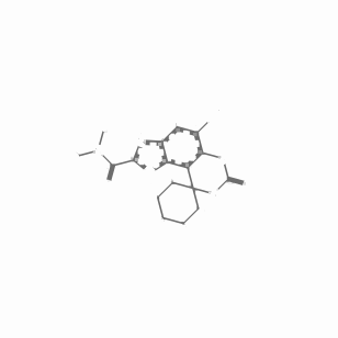 CN(C)C(=O)c1nc2cc(Cl)c3c(c2o1)C1(CCCCC1)NC(=O)N3